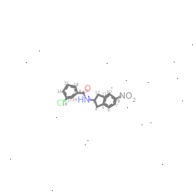 O=C(NC1Cc2ccc([N+](=O)[O-])cc2C1)c1cccc(Cl)c1